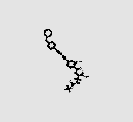 COC(=O)C(NC(=O)c1ccc(C#CC#Cc2ccc(CN3CCCCC3)cc2)cc1O)C(C)(C)NC(=O)OC(C)(C)C